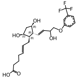 O=C(O)CCCC=CC[C@@H]1[C@@H](C=CC(O)COc2cccc(C(F)(F)F)c2)[C@H](O)C[C@@H]1O